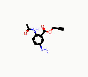 C#CCOC(=O)c1cc(N)ccc1NC(C)=O